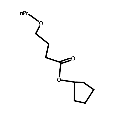 CCCOCCCC(=O)OC1CCCC1